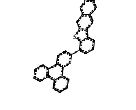 c1cc(-c2ccc3c4ccccc4c4ccccc4c3c2)c2sc3cc4cnccc4cc3c2c1